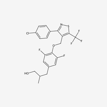 CC(CO)Cc1cc(F)c(OCc2c(-c3ccc(Cl)cc3)nsc2C(F)(F)F)c(F)c1